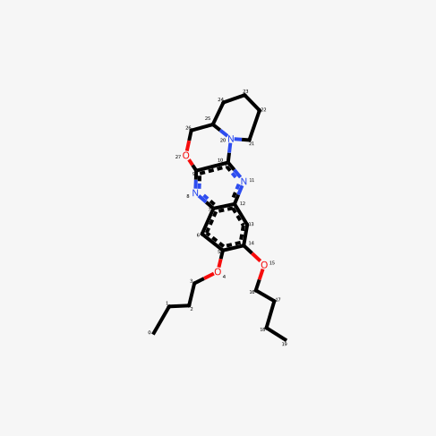 CCCCOc1cc2nc3c(nc2cc1OCCCC)N1CCCCC1CO3